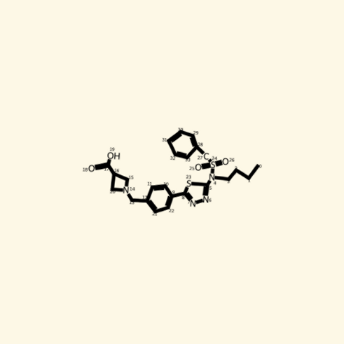 CCCCN(c1nnc(-c2ccc(CN3CC(C(=O)O)C3)cc2)s1)S(=O)(=O)Cc1ccccc1